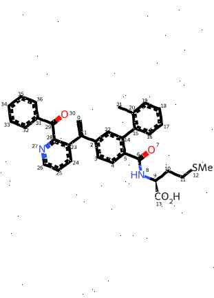 C=C(c1ccc(C(=O)N[C@@H](CCSC)C(=O)O)c(-c2ccccc2C)c1)c1cccnc1C(=O)c1ccccc1